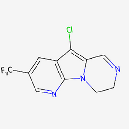 FC(F)(F)c1cnc2c(c1)c(Cl)c1n2CCN=C1